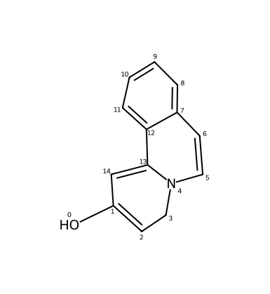 OC1=CCN2C=Cc3ccccc3C2=C1